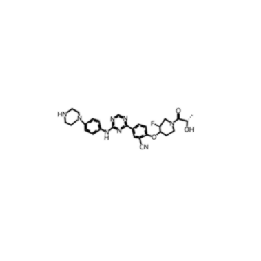 C[C@H](O)C(=O)N1CCC(Oc2ccc(-c3ncnc(Nc4ccc(N5CCNCC5)cc4)n3)cc2C#N)[C@@H](F)C1